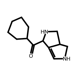 O=C(C1CCCCC1)C1NCC2CNC=C21